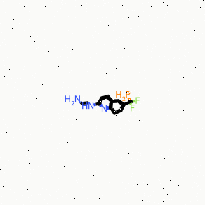 NCCNc1ccc2cc(C(F)(F)P)ccc2n1